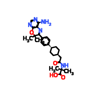 CC(C)(NC(=O)C[C@H]1CC[C@H](c2ccc(C3=Nc4c(N)ncnc4OC3(C)C)cc2)CC1)C(=O)O